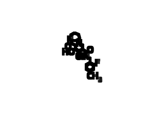 Cc1ccc(CNC(=O)c2cn3c(c(O)c2=O)C(=O)N2CCCC3CC2)c(F)c1